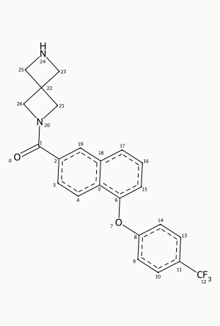 O=C(c1ccc2c(Oc3ccc(C(F)(F)F)cc3)cccc2c1)N1CC2(CNC2)C1